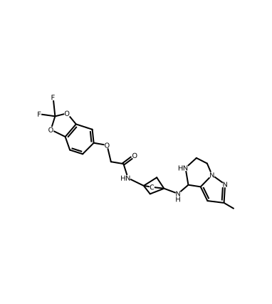 Cc1cc2n(n1)CCNC2NC12CC(NC(=O)COc3ccc4c(c3)OC(F)(F)O4)(C1)C2